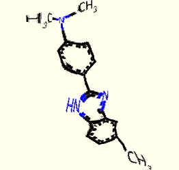 Cc1ccc2[nH]c(-c3ccc(N(C)C)cc3)nc2c1